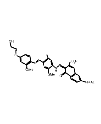 COc1cc(OCCO)ccc1/N=N/c1cc(OC)c(N/N=C2\C(=O)c3ccc(NC(C)=O)cc3C=C2S(=O)(=O)O)cc1C